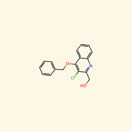 OCc1nc2ccccc2c(OCc2ccccc2)c1Cl